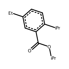 CCc1ccc(C(C)C)c(C(=O)OC(C)C)c1